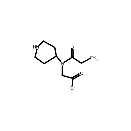 CCC(=O)N(CC(=O)O)C1CCNCC1